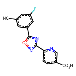 N#Cc1cc(F)cc(-c2nc(-c3ccc(C(=O)O)cn3)no2)c1